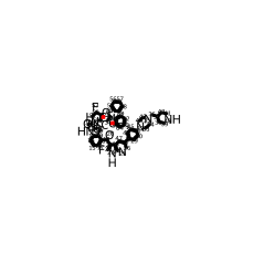 CC(C)(C)[Si](O[C@H]1CN(S(=O)(=O)Nc2ccc(F)c(C(=O)c3c[nH]c4ncc(-c5ccc(N6CCN(CC7CCNCC7)CC6)cc5)cc34)c2F)C[C@@H]1F)(c1ccccc1)c1ccccc1